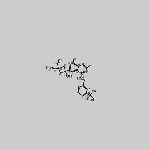 Cc1nc(NCc2cccc(C(F)(F)F)c2)c2cc(C3(O)CC(CN)(CCl)C3)cc(C)c2n1